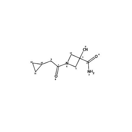 N#CC1(C(N)=O)CN(C(=O)[CH]C2CC2)C1